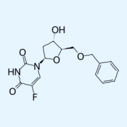 O=c1[nH]c(=O)n([C@H]2C[C@H](O)[C@@H](COCc3ccccc3)O2)cc1F